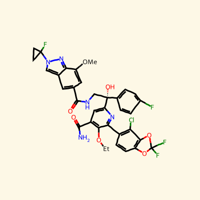 CCOc1c(C(N)=O)cc([C@@](O)(CNC(=O)c2cc(OC)c3nn(C4(F)CC4)cc3c2)c2ccc(F)cc2)nc1-c1ccc2c(c1Cl)OC(F)(F)O2